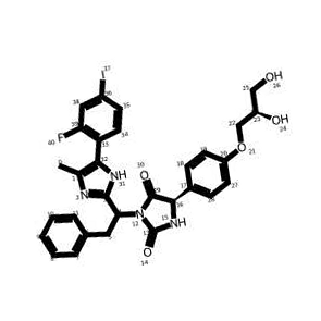 Cc1nc(C(Cc2ccccc2)N2C(=O)N[C@H](c3ccc(OC[C@H](O)CO)cc3)C2=O)[nH]c1-c1ccc(I)cc1F